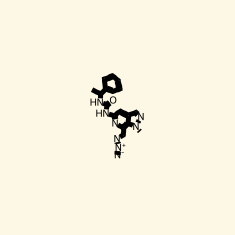 CC(NC(=O)Nc1cc2cnn(C)c2c(CN=[N+]=[N-])n1)c1ccccc1